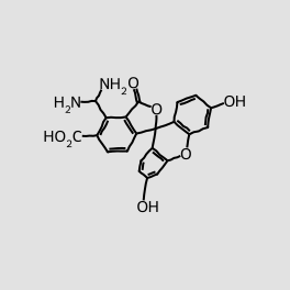 NC(N)c1c(C(=O)O)ccc2c1C(=O)OC21c2ccc(O)cc2Oc2cc(O)ccc21